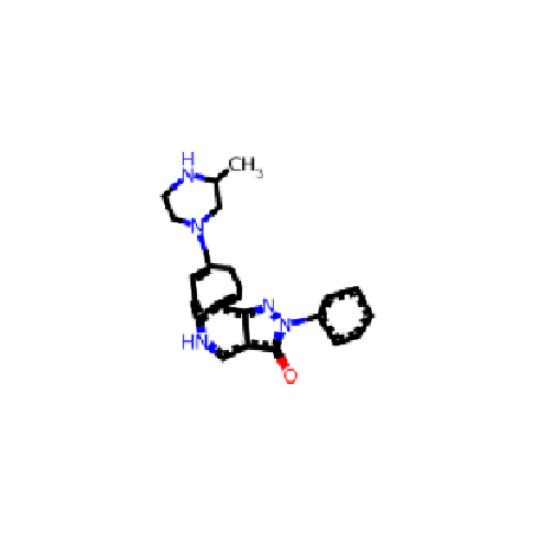 CC1CN(/C2=C/C=c3/[nH]cc4c(=O)n(-c5ccccc5)nc-4/c3=C\CC2)CCN1